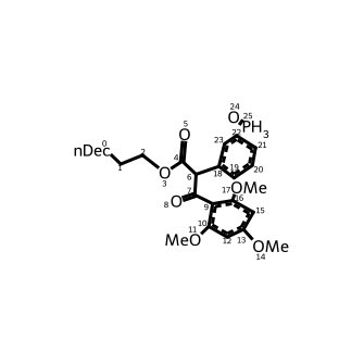 CCCCCCCCCCCCOC(=O)C(C(=O)c1c(OC)cc(OC)cc1OC)c1ccccc1.O=[PH3]